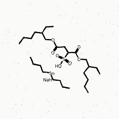 CCCCC(CC)COC(=O)CC(C(=O)OCC(CC)CCCC)S(=O)(=O)O.CCC[CH2][Sn][CH2]CCC.[NaH]